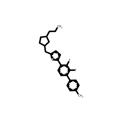 CCCC1CCC(Cc2ccc(-c3ccc(-c4ccc(C)cc4)c(F)c3F)s2)C1